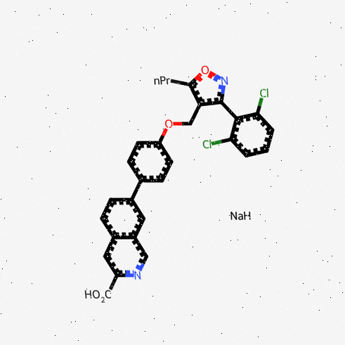 CCCc1onc(-c2c(Cl)cccc2Cl)c1COc1ccc(-c2ccc3cc(C(=O)O)ncc3c2)cc1.[NaH]